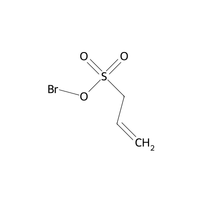 C=CCS(=O)(=O)OBr